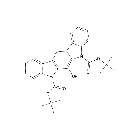 CC(C)(C)OC(=O)n1c2ccccc2c2cc3c4ccccc4n(C(=O)OC(C)(C)C)c3c(O)c21